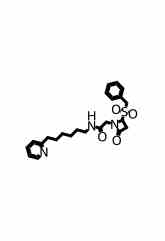 O=C(CN1C(=O)CC1S(=O)(=O)Cc1ccccc1)NCCCCCCc1ccccn1